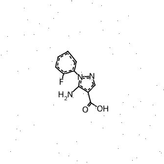 Nc1c(C(=O)O)cnn1-c1ccccc1F